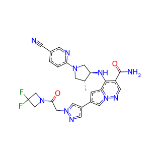 C[C@@H]1CN(c2ccc(C#N)cn2)C[C@H]1Nc1c(C(N)=O)cnn2cc(-c3cnn(CC(=O)N4CC(F)(F)C4)c3)cc12